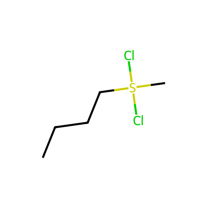 CCCCS(C)(Cl)Cl